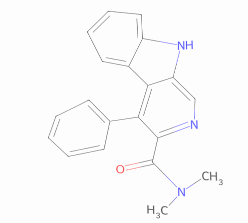 CN(C)C(=O)c1ncc2[nH]c3ccccc3c2c1-c1ccccc1